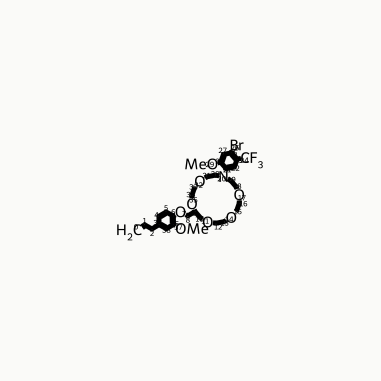 C=CCc1ccc(OCC2COCCOCCOCCN(c3cc(C(F)(F)F)c(Br)cc3OC)CCOCCO2)c(OC)c1